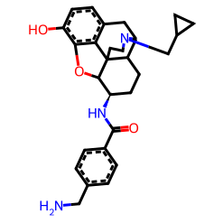 NCc1ccc(C(=O)N[C@@H]2CCC3C4Cc5ccc(O)c6c5C3(CCN4CC3CC3)C2O6)cc1